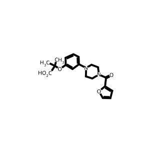 CC(C)(Oc1cccc(N2CCN(C(=O)c3ccco3)CC2)c1)C(=O)O